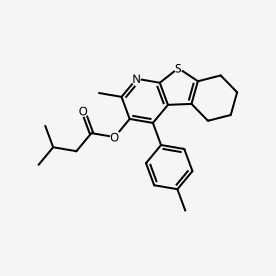 Cc1ccc(-c2c(OC(=O)CC(C)C)c(C)nc3sc4c(c23)CCCC4)cc1